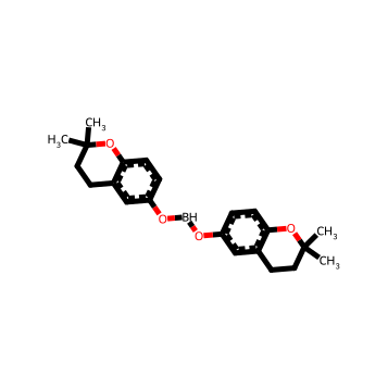 CC1(C)CCc2cc(OBOc3ccc4c(c3)CCC(C)(C)O4)ccc2O1